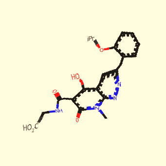 CC(C)Oc1ccccc1-c1cc2c(O)c(C(=O)NCC(=O)O)c(=O)n(C)c2nn1